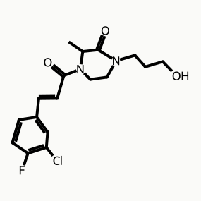 CC1C(=O)N(CCCO)CCN1C(=O)C=Cc1ccc(F)c(Cl)c1